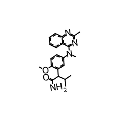 COc1ccc(N(C)c2nc(C)nc3ccccc23)cc1C(C(N)=O)C(C)C